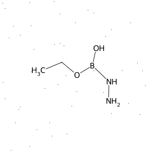 CCOB(O)NN